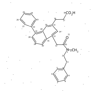 CN(CCc1ccccc1)C(=O)Cc1cc(CCC(=O)O)cc2c(-c3ccccc3)cccc12